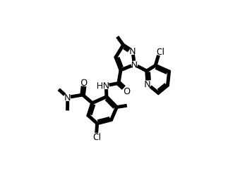 Cc1cc(C(=O)Nc2c(C)cc(Cl)cc2C(=O)N(C)C)n(-c2ncccc2Cl)n1